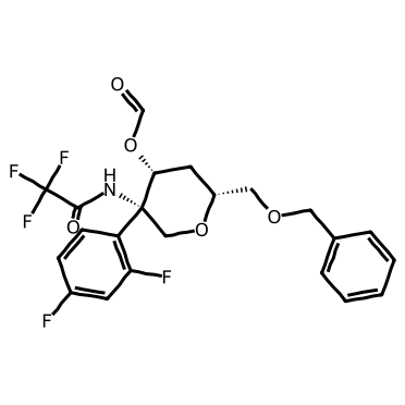 O=CO[C@@H]1C[C@H](COCc2ccccc2)OC[C@@]1(NC(=O)C(F)(F)F)c1ccc(F)cc1F